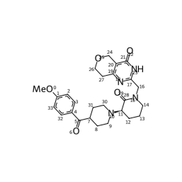 COc1ccc(C(=O)C2CCN([C@@H]3CCCN(Cc4nc5c(c(=O)[nH]4)COCC5)C3=O)CC2)cc1